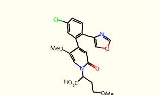 COCCC(C(=O)O)n1cc(OC)c(-c2cc(Cl)ccc2-c2cocn2)cc1=O